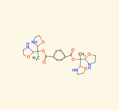 CC(OC(=O)c1ccc(C(=O)OC(C)(C2NCCO2)C2NCCO2)cc1)(C1NCCO1)C1NCCO1